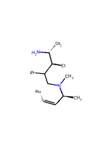 CCC(C(CN(C)[C@@H](C)/C=C\[C@@H](C)CC)C(C)C)[C@@H](C)N